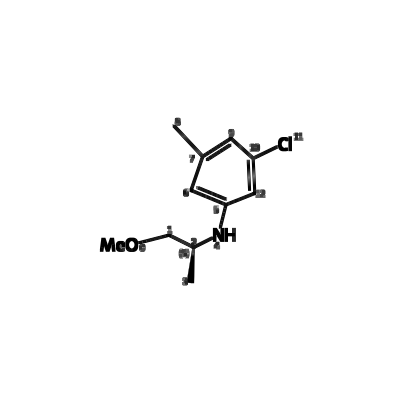 COC[C@H](C)Nc1cc(C)cc(Cl)c1